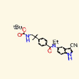 CCN(C(=O)c1ccc(C(C)(C)CNC(=O)OC(C)(C)C)cc1)c1ccc2[nH]cc(C#N)c2c1